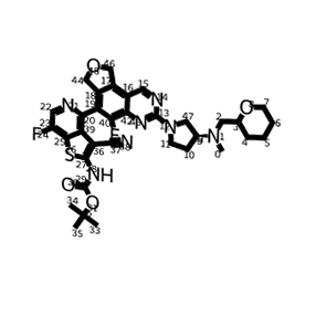 CN(CC1CCCCO1)[C@H]1CCN(c2ncc3c4c(c(-c5ncc(F)c6sc(NC(=O)OC(C)(C)C)c(C#N)c56)c(F)c3n2)COC4)C1